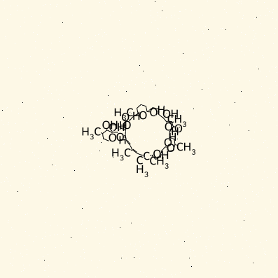 CC1=C/[C@H](C)C[C@@]2(C)CC[C@@H](O2)[C@@]23CC[C@@](C)(C[C@@H](O2)[C@H]2O[C@](C)(CC2=O)[C@@H](O)[C@@H]2CC[C@@]4(CCC[C@H](O4)[C@@H](C)C(=O)O[C@@H]4C[C@@H]([C@@]5(O)OCC[C@@H](C)[C@H]5O)O[C@@H]4\C=C\1)O2)O3